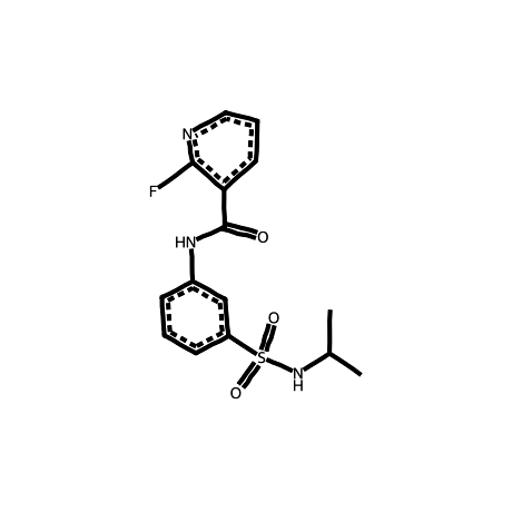 CC(C)NS(=O)(=O)c1cccc(NC(=O)c2cccnc2F)c1